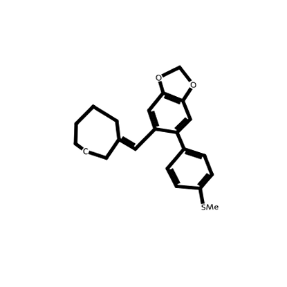 CSc1ccc(-c2cc3c(cc2C=C2CCCCCC2)OCO3)cc1